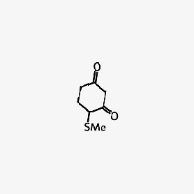 CSC1CCC(=O)CC1=O